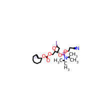 CC(C)N(C(C)C)P(OCCC#N)O[C@H]1CC(I)OC1COC(=O)OC1/C=C/CCCCC1